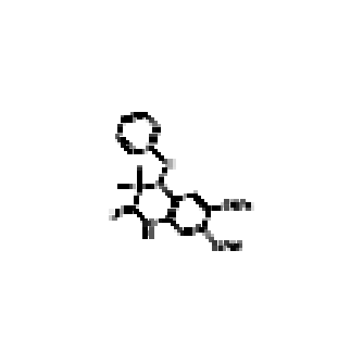 COc1cc2c(cc1OC)C(Nc1ccccc1)C(C)(C)C(=O)N2